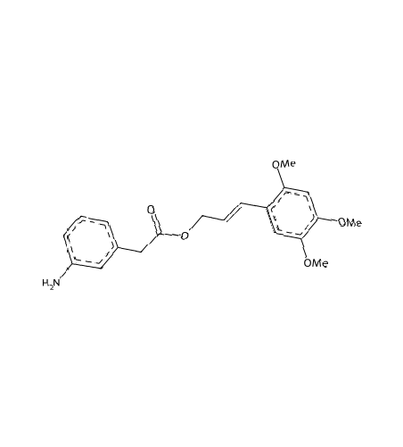 COc1cc(OC)c(OC)cc1/C=C/COC(=O)Cc1cccc(N)c1